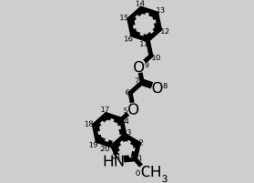 Cc1cc2c(OCC(=O)OCc3ccccc3)cccc2[nH]1